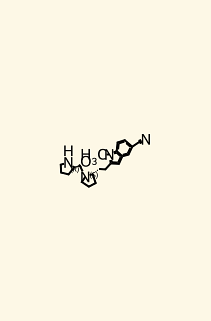 Cn1c(CC[C@@H]2CCCN2C(=O)[C@H]2CCCN2)cc2cc(C#N)ccc21